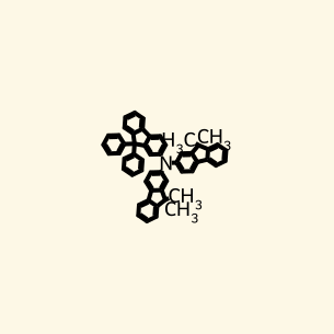 CC1(C)c2ccccc2-c2ccc(N(c3ccc4c(c3)C(C)(C)c3ccccc3-4)c3ccc4c(c3)C(c3ccccc3)(c3ccccc3)c3ccccc3-4)cc21